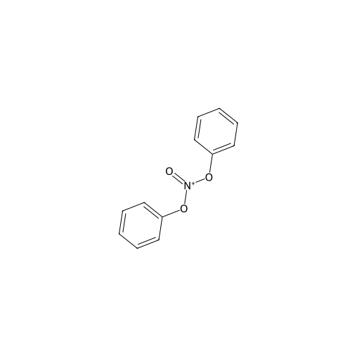 O=[N+](Oc1ccccc1)Oc1ccccc1